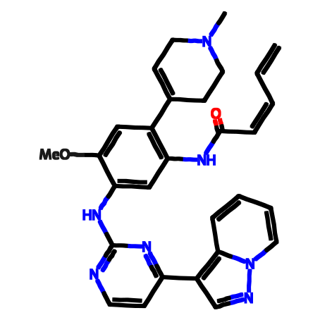 C=C/C=C\C(=O)Nc1cc(Nc2nccc(-c3cnn4ccccc34)n2)c(OC)cc1C1=CCN(C)CC1